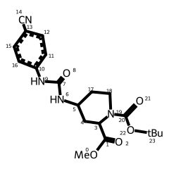 COC(=O)C1CC(NC(=O)Nc2ccc(C#N)cc2)CCN1C(=O)OC(C)(C)C